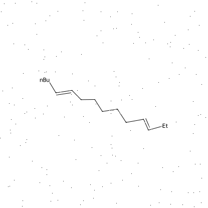 [CH2]CC=CCCCCCC=CCCCC